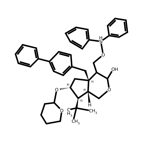 CC(C)(C)[C@@H]1[C@H]2COC(O)C(CO[SiH](c3ccccc3)c3ccccc3)[C@@]2(Cc2ccc(-c3ccccc3)cc2)C[C@H]1OC1CCCCO1